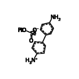 Nc1ccc(-c2ccc([NH3+])cc2)cc1.O=[Se]([O-])O.[Pt]